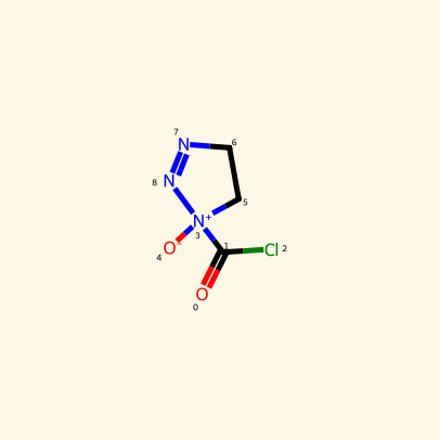 O=C(Cl)[N+]1([O-])CCN=N1